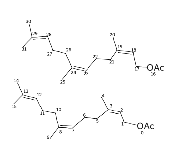 CC(=O)OCC=C(C)CCC=C(C)CCC=C(C)C.CC(=O)OCC=C(C)CCC=C(C)CCC=C(C)C